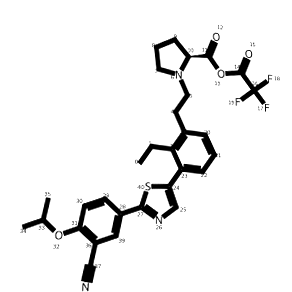 CCc1c(CCN2CCC[C@H]2C(=O)OC(=O)C(F)(F)F)cccc1-c1cnc(-c2ccc(OC(C)C)c(C#N)c2)s1